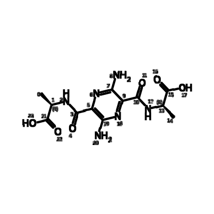 C[C@@H](NC(=O)c1nc(N)c(C(=O)N[C@H](C)C(=O)O)nc1N)C(=O)O